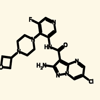 Nc1nn2cc(Cl)cnc2c1C(=O)Nc1cncc(F)c1N1CCN(C2COC2)CC1